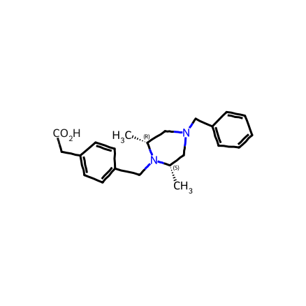 C[C@@H]1CN(Cc2ccccc2)C[C@H](C)N1Cc1ccc(CC(=O)O)cc1